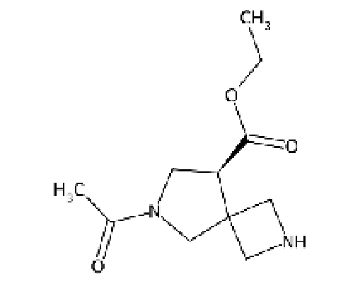 CCOC(=O)[C@@H]1CN(C(C)=O)CC12CNC2